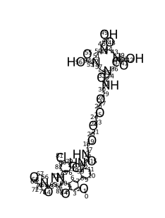 COc1cc2c(cc1-c1cccc(NC(=O)NCCOCCOCCOCCOCCNC(=O)CN3CCN(CC(=O)O)CCN(CC(=O)O)CCN(CC(=O)O)CC3)c1)-c1c(c(C(=O)N3CCOCC3(C)C)nn1-c1cc(Cl)cc(Cl)c1)CO2